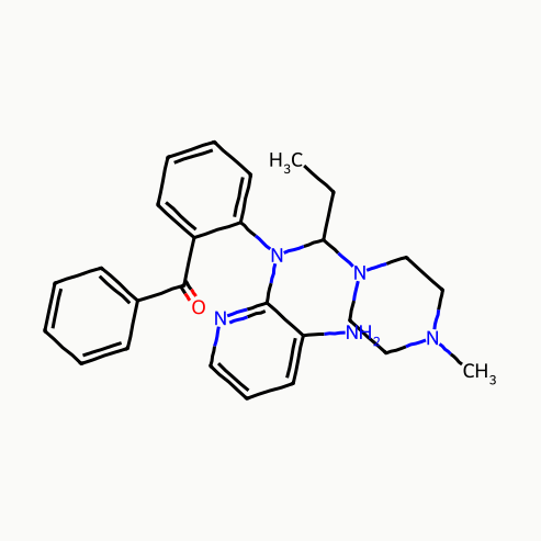 CCC(N1CCN(C)CC1)N(c1ccccc1C(=O)c1ccccc1)c1ncccc1N